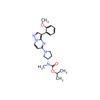 COc1ccccc1-c1cnn2ccc(N3CC[C@H](N(C)C(=O)OC(C)C)C3)nc12